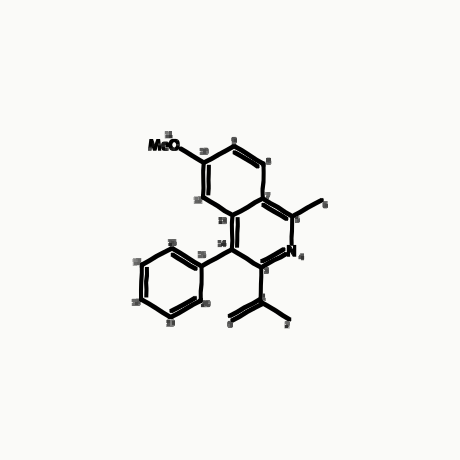 C=C(C)c1nc(C)c2ccc(OC)cc2c1-c1ccccc1